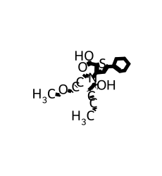 CC=C=C=C[C@@H](O)N(C=C=C=COCC)c1cc(C2=CCCCC2)sc1C(=O)O